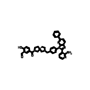 Nc1ncccc1-c1nc2ccc(-c3ccccc3)nc2n1-c1ccc(CN2CC[C@]3(CCN(C(=O)c4ccc(O)c(C=O)c4)C3)C2)cc1